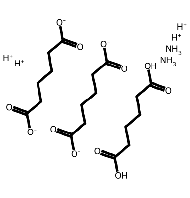 N.N.O=C(O)CCCCC(=O)O.O=C([O-])CCCCC(=O)[O-].O=C([O-])CCCCC(=O)[O-].[H+].[H+].[H+].[H+]